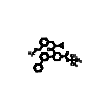 COCc1cccc(CN(C(=O)C2=C(c3cccc(-c4ccccc4)c3)CCN(C(=O)OC(C)(C)C)C2)C2CC2)c1